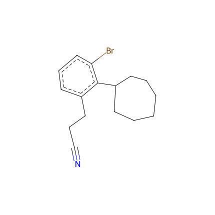 N#CCCc1cccc(Br)c1C1CCCCCC1